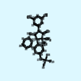 CC1(C)C(=O)N(c2cc(Cl)cc(Cl)c2)C(=O)[C@]1(c1ccncc1)c1ccc(OC(F)(F)F)cc1